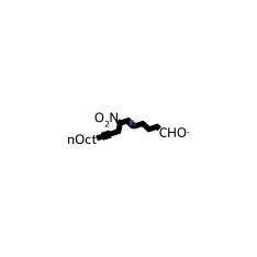 CCCCCCCCC#CCC(/C=C/CCC[C]=O)[N+](=O)[O-]